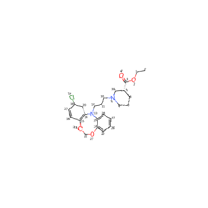 CCOC(=O)[C@@H]1CCCN(CCCN2C3=C(C=CC(Cl)C3)OCOc3ccccc32)C1